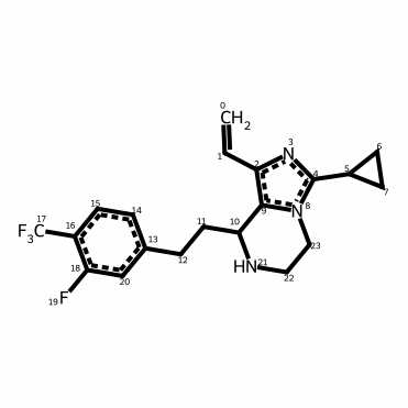 C=Cc1nc(C2CC2)n2c1C(CCc1ccc(C(F)(F)F)c(F)c1)NCC2